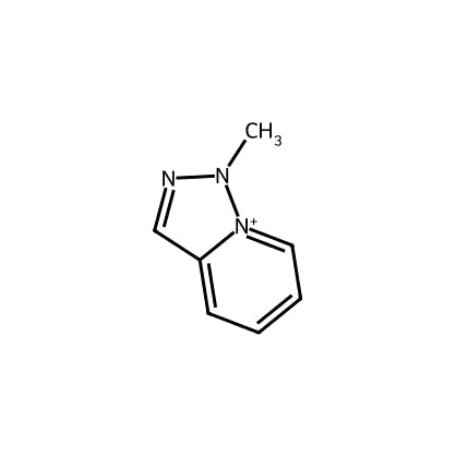 Cn1ncc2cccc[n+]21